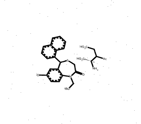 CC(=O)C(CC(=O)O)[C@H](N)C(=O)O.CC(C)(C)CN1C(=O)CSC(c2cccc3ccccc23)c2cc(Cl)ccc21